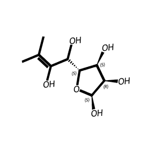 CC(C)=C(O)C(O)[C@H]1O[C@H](O)[C@H](O)[C@@H]1O